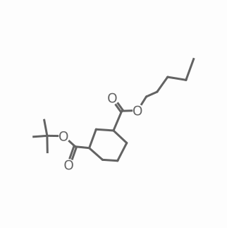 CCCCCOC(=O)C1CCCC(C(=O)OC(C)(C)C)C1